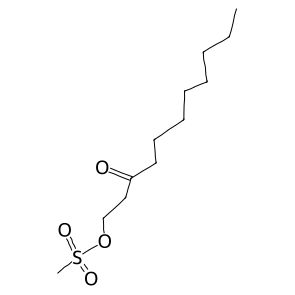 CCCCCCCCC(=O)CCOS(C)(=O)=O